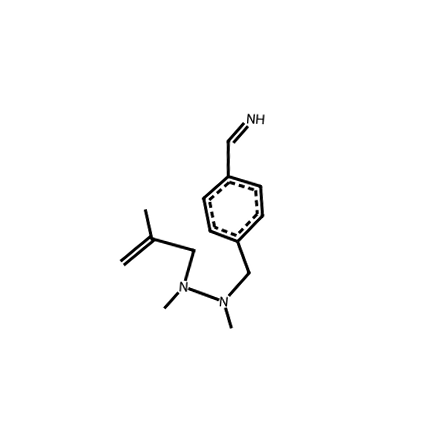 C=C(C)CN(C)N(C)Cc1ccc(C=N)cc1